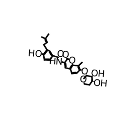 CC(C)=CCc1cc(C(=O)Nc2cc3ccc(O[C@@H]4OCC[C@@H](O)[C@H]4O)c(C)c3oc2=O)ccc1O